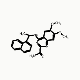 COc1cc2nc(C(N)=O)nc(NC(C)c3cccc4ccccc34)c2cc1OC